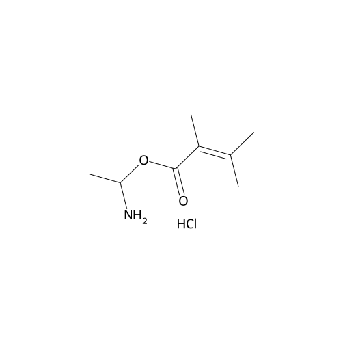 CC(C)=C(C)C(=O)OC(C)N.Cl